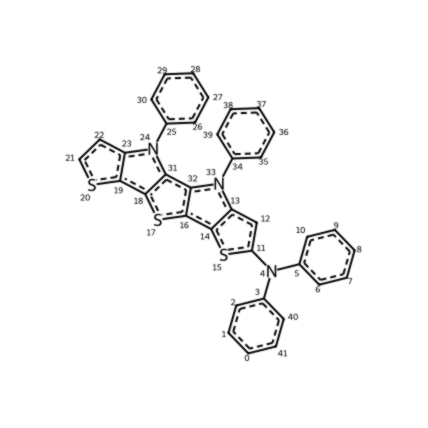 c1ccc(N(c2ccccc2)c2cc3c(s2)c2sc4c5sccc5n(-c5ccccc5)c4c2n3-c2ccccc2)cc1